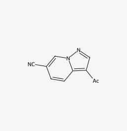 CC(=O)c1cnn2cc(C#N)ccc12